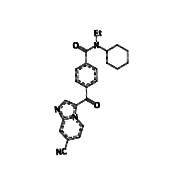 CCN(C(=O)c1ccc(C(=O)c2cnc3cc(C#N)ccn23)cc1)C1CCCCC1